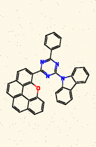 c1ccc(-c2nc(-c3ccc4ccc5ccc6cccc7c6c5c4c3O7)nc(-n3c4ccccc4c4ccccc43)n2)cc1